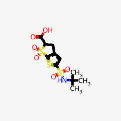 CC(C)(C)NS(=O)(=O)c1cc2c(s1)S(=O)(=O)C(C(=O)O)C2